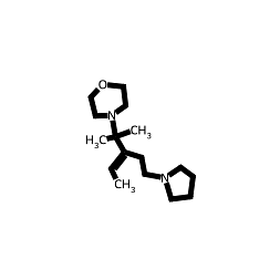 CC=C(CCN1CCCC1)C(C)(C)N1CCOCC1